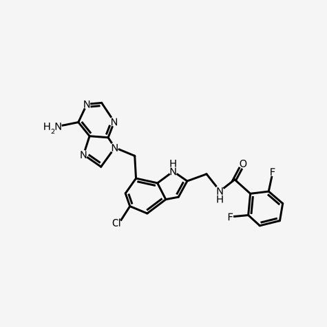 Nc1ncnc2c1ncn2Cc1cc(Cl)cc2cc(CNC(=O)c3c(F)cccc3F)[nH]c12